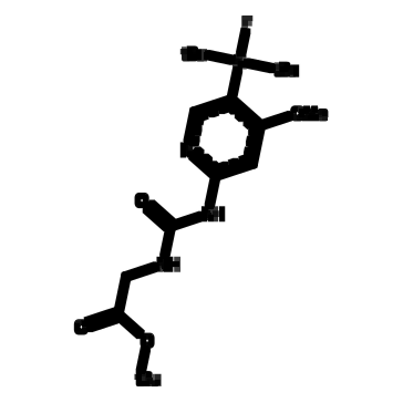 COc1cc(NC(=O)NCC(=O)OC(C)(C)C)ncc1[Si](F)(C(C)(C)C)C(C)(C)C